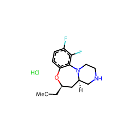 COC[C@@H]1C[C@@H]2CNCCN2c2c(ccc(F)c2F)O1.Cl